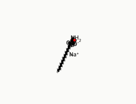 CCCCCCCCCCCCCCCCCCOC(=O)C(CC(N)=O)S(=O)(=O)[O-].[Na+]